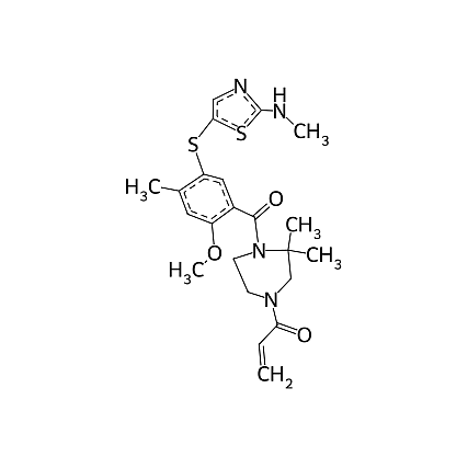 C=CC(=O)N1CCN(C(=O)c2cc(Sc3cnc(NC)s3)c(C)cc2OC)C(C)(C)C1